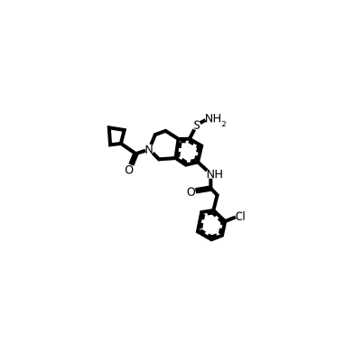 NSc1cc(NC(=O)Cc2ccccc2Cl)cc2c1CCN(C(=O)C1CCC1)C2